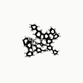 CN(/C(=N\C(=N)c1ccccc1)c1cc(C#N)ccc1-n1c2ccccc2c2ccccc21)C1CC(n2c3ccc(-c4ccccc4)cc3c3cc(-c4ccccc4)ccc32)=C1n1c2ccc(-c3ccccc3)cc2c2cc(-c3ccccc3)ccc21